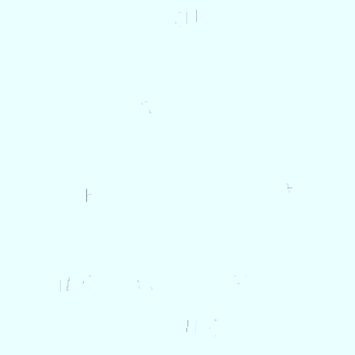 COc1c(OC)c(F)c2sc(C)cc2c1F